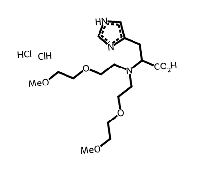 COCCOCCN(CCOCCOC)C(Cc1c[nH]cn1)C(=O)O.Cl.Cl